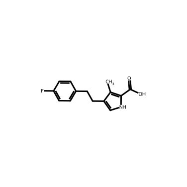 Cc1c(CCc2ccc(F)cc2)c[nH]c1C(=O)O